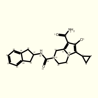 NC(=O)c1c(Cl)c(C2CC2)n2c1CN(C(=O)NC1Cc3ccccc3C1)CC2